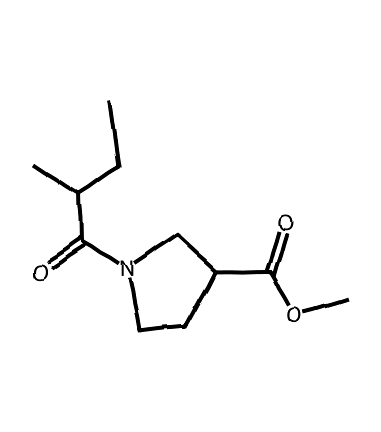 CCC(C)C(=O)N1CCC(C(=O)OC)C1